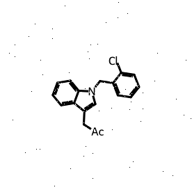 CC(=O)Cc1cn(Cc2ccccc2Cl)c2ccccc12